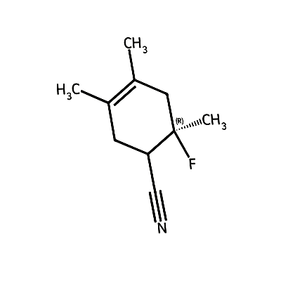 CC1=C(C)C[C@@](C)(F)C(C#N)C1